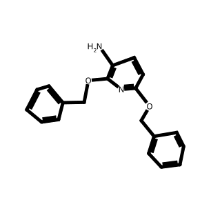 Nc1ccc(OCc2ccccc2)nc1OCc1ccccc1